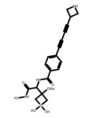 COC1(C(NC(=O)c2ccc(C#CC#CC3CNC3)cc2)C(=O)NO)CS(O)(O)C1